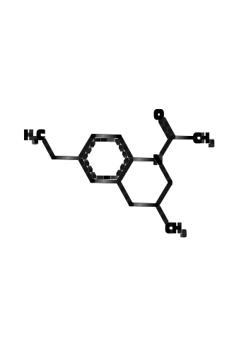 CCc1ccc2c(c1)CC(C)CN2C(C)=O